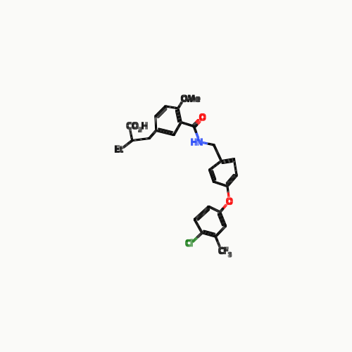 CCC(Cc1ccc(OC)c(C(=O)NCc2ccc(Oc3ccc(Cl)c(C(F)(F)F)c3)cc2)c1)C(=O)O